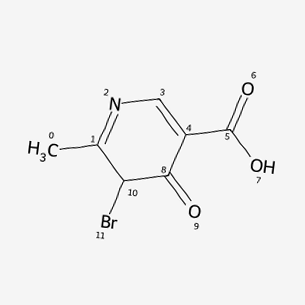 CC1=NC=C(C(=O)O)C(=O)C1Br